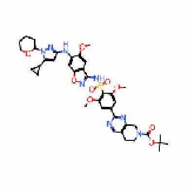 COc1cc2c(NS(=O)(=O)c3c(OC)cc(-c4ncc5c(n4)CN(C(=O)OC(C)(C)C)CC5)cc3OC)noc2cc1Nc1cc(C2CC2)n(C2CCCCO2)n1